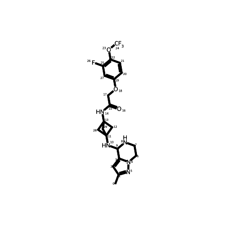 Cc1cc2n(n1)CCNC2NC12CC(NC(=O)COc3ccc(OC(F)(F)F)c(F)c3)(C1)C2